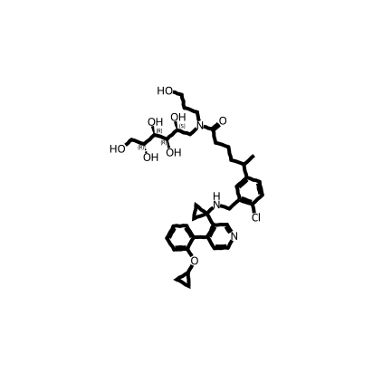 CC(CCCC(=O)N(CCCO)C[C@H](O)[C@@H](O)[C@H](O)[C@H](O)CO)c1ccc(Cl)c(CNC2(c3cnccc3-c3ccccc3OC3CC3)CC2)c1